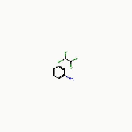 BrC(Br)C(Br)Br.Nc1ccccc1